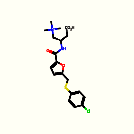 C[N+](C)(C)C[C@@H](CC(=O)O)NC(=O)c1ccc(CSc2ccc(Cl)cc2)o1